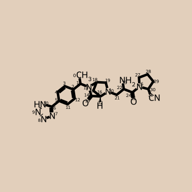 CC(c1ccc(-c2nnn[nH]2)cc1)N1C(=O)[C@@H]2CC1CN2CC(N)C(=O)N1CCCC1C#N